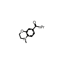 CCCC(=O)c1ccc2c(c1)OCCN2C